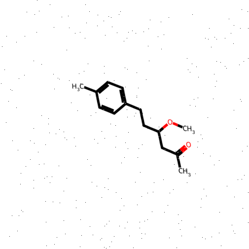 COC(CCc1ccc(C)cc1)CC(C)=O